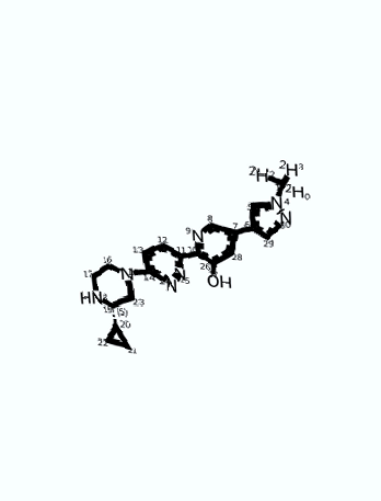 [2H]C([2H])([2H])n1cc(-c2cnc(-c3ccc(N4CCN[C@@H](C5CC5)C4)nn3)c(O)c2)cn1